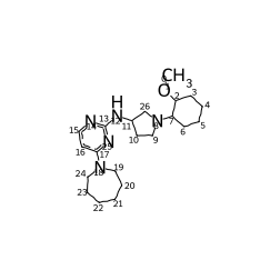 COC1CCCCC1N1CCC(Nc2nccc(N3CCCCCC3)n2)C1